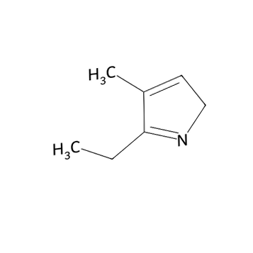 CCC1=NCC=C1C